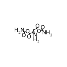 NC(=O)OC(=O)C[C@H](N)C(=O)OC(N)=O